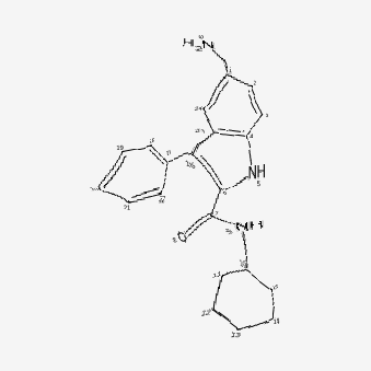 Nc1ccc2[nH]c(C(=O)NC3CCCCC3)c(-c3ccccc3)c2c1